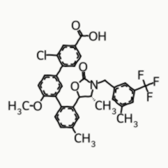 COc1ccc(-c2ccc(C(=O)O)cc2Cl)cc1-c1ccc(C)cc1C1OC(=O)N(Cc2cc(C)cc(C(F)(F)F)c2)[C@@H]1C